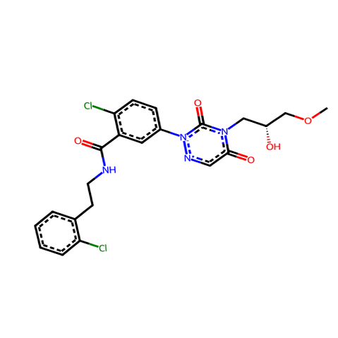 COC[C@H](O)Cn1c(=O)cnn(-c2ccc(Cl)c(C(=O)NCCc3ccccc3Cl)c2)c1=O